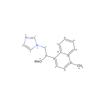 COC(Cn1ccnc1)c1ccc(C)c2ccccc12